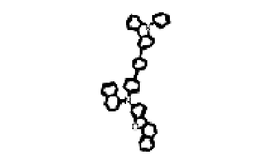 c1ccc(-n2c3ccccc3c3cc(-c4ccc(-c5ccc(N(c6ccc7c(c6)oc6c8ccccc8ccc76)c6cccc7ccccc67)cc5)cc4)ccc32)cc1